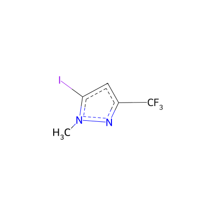 Cn1nc(C(F)(F)F)cc1I